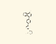 CC(C)(C)N1CCC[C@H]1c1ncc(-c2ccc(-c3ccc(O)c4c3[C@@H]3CC[C@H]4C3)cc2)[nH]1